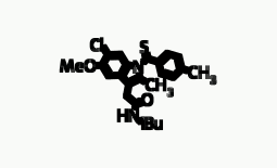 CCC(C)NC(=O)Cc1c(C)n(C(=S)c2ccc(C)cc2)c2cc(Cl)c(OC)cc12